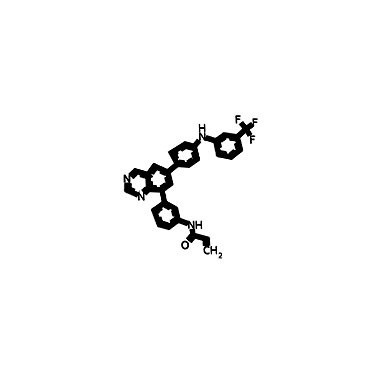 C=CC(=O)Nc1cccc(-c2cc(-c3ccc(Nc4cccc(C(F)(F)F)c4)cc3)cc3cncnc23)c1